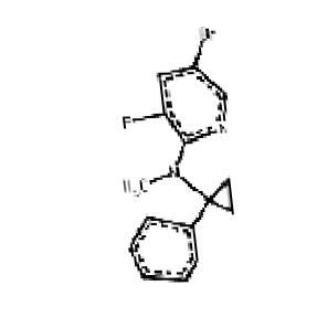 CN(c1ncc(Br)cc1F)C1(c2ccccc2)CC1